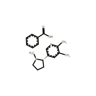 Cc1cc([C@@H]2CCCN2C)cnc1C.O=C(O)c1ccccc1